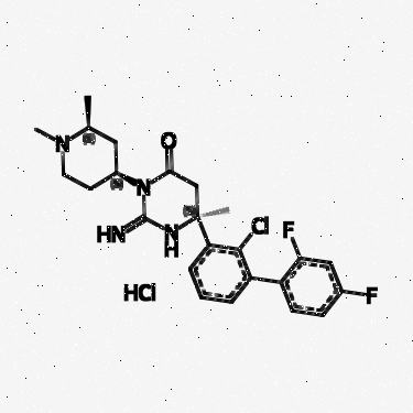 C[C@H]1C[C@@H](N2C(=N)N[C@](C)(c3cccc(-c4ccc(F)cc4F)c3Cl)CC2=O)CCN1C.Cl